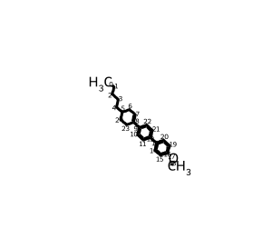 CCCCCC1CC=C(c2ccc(-c3ccc(OC)cc3)cc2)CC1